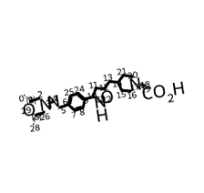 C[C@@H]1CN(N=Cc2ccc(C3CC(CC4CCN(CC(=O)O)CC4)ON3)cc2)C[C@H](C)O1